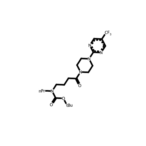 CCCN(CCCC(=O)N1CCN(c2ncc(C(F)(F)F)cn2)CC1)C(=O)OC(C)(C)C